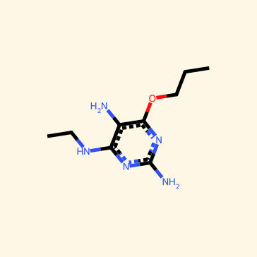 CCCOc1nc(N)nc(NCC)c1N